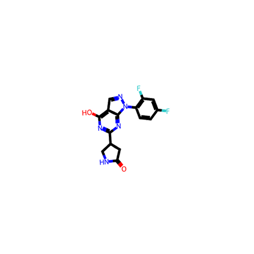 O=C1CC(c2nc(O)c3cnn(-c4ccc(F)cc4F)c3n2)CN1